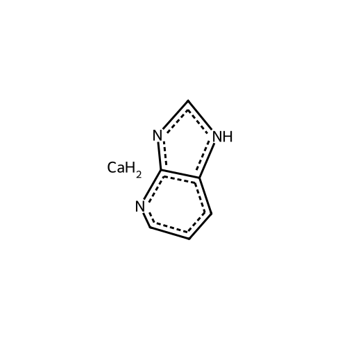 [CaH2].c1cnc2nc[nH]c2c1